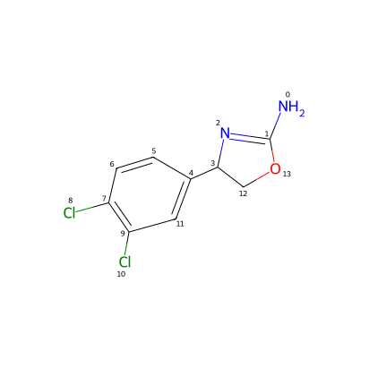 NC1=NC(c2ccc(Cl)c(Cl)c2)CO1